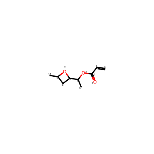 C=CC(=O)OC(C)C1CC(C)O1